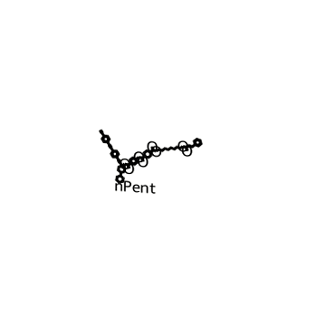 C#Cc1ccc(C#Cc2ccc(C#CC3(OC(=O)c4ccc(OC(=O)C5CCC(C(=O)OCCCCCCCCOC(=O)/C=C/c6ccccc6)CC5)cc4)CCC(C4CCC(CCCCC)CC4)CC3)cc2)cc1